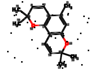 Cc1cc2c(c3c1C=CC(C)(C)O3)C=CC(C)(C)O2